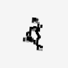 CCCCOCCCC.CCOCCOCC